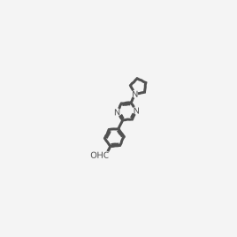 O=Cc1ccc(-c2cnc(N3CCCC3)cn2)cc1